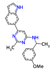 COc1cccc(C(C)Nc2cc(-c3ccc4cc[nH]c4c3)nc(C)n2)c1